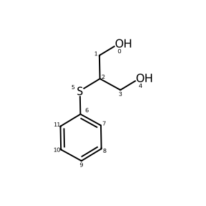 OCC(CO)Sc1ccccc1